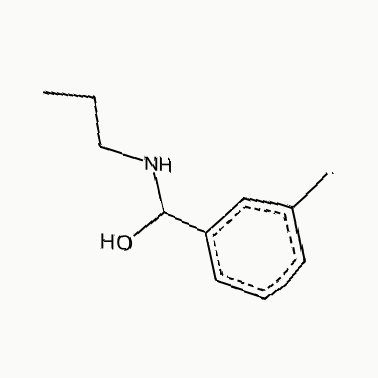 [CH2]c1cccc(C(O)NCCC)c1